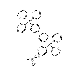 [O-]B([O-])O.c1ccc([P+](c2ccccc2)(c2ccccc2)c2ccccc2)cc1.c1ccc([P+](c2ccccc2)(c2ccccc2)c2ccccc2)cc1